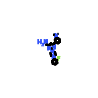 CN(C)c1cccc(-c2cc(CN)nc(N3CCN(c4ccccc4F)CC3)n2)c1